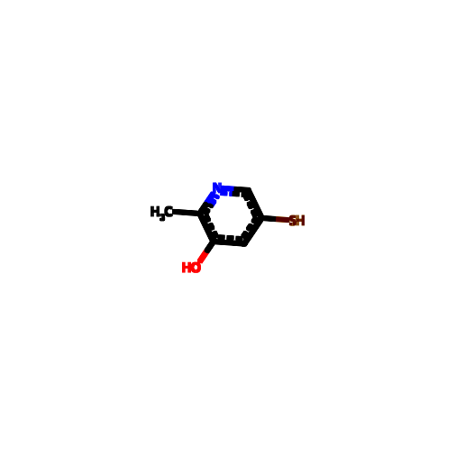 Cc1ncc(S)cc1O